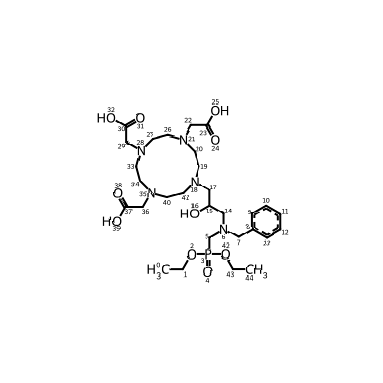 CCOP(=O)(CN(Cc1ccccc1)CC(O)CN1CCN(CC(=O)O)CCN(CC(=O)O)CCN(CC(=O)O)CC1)OCC